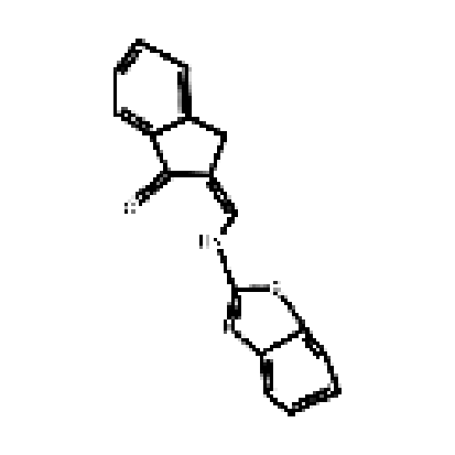 O=C1C(=CNc2nc3ccccc3s2)Cc2ccccc21